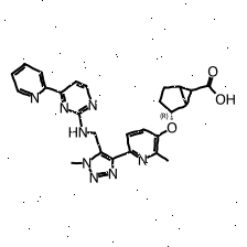 Cc1nc(-c2nnn(C)c2CNc2nccc(-c3ccccn3)n2)ccc1O[C@@H]1CCC2C(C(=O)O)C21